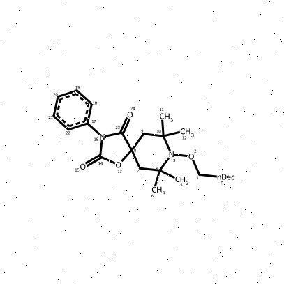 CCCCCCCCCCCON1C(C)(C)CC2(CC1(C)C)OC(=O)N(c1ccccc1)C2=O